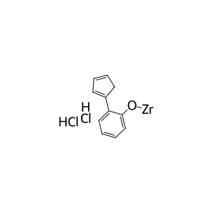 Cl.Cl.[Zr][O]c1ccccc1C1=CC=CC1